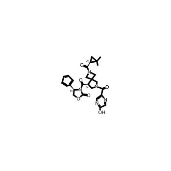 CC1(C)C[C@@H]1C(=O)N1CC2(CN(C(=O)c3cnc(O)cn3)C[C@H]2C(=O)N2C(=O)OC[C@H]2c2ccccc2)C1